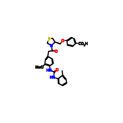 COc1cc(CC(=O)N2CSC[C@H]2COc2ccc(C(=O)O)cc2)ccc1NC(=O)Nc1ccccc1C